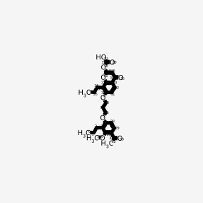 CCCc1c(OCCCOc2ccc3c(=O)cc(OC(=O)O)oc3c2CCC)ccc(C(C)=O)c1OC